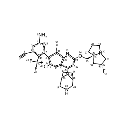 C#Cc1cc(N)nc(-c2c(Cl)cc3c(N4C5CCC4CNC5)nc(OC[C@@]45CCCN4C[C@H](F)C5)nc3c2F)c1C(F)(F)F